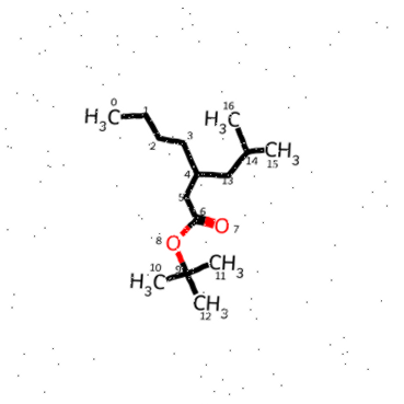 CCCCC(CC(=O)OC(C)(C)C)CC(C)C